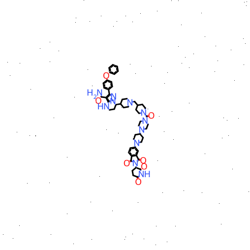 NC(=O)c1c(-c2ccc(Oc3ccccc3)cc2)nn2c1NCCC2C1CCN(CC2CCN(C(=O)N3CCN(C4CCN(c5ccc6c(c5)C(=O)N(C5CCC(=O)NC5=O)C6=O)CC4)CC3)CC2)CC1